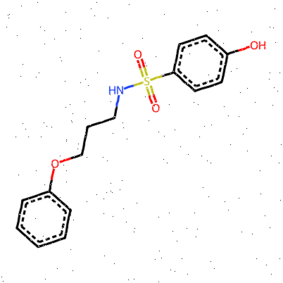 O=S(=O)(NCCCOc1ccccc1)c1ccc(O)cc1